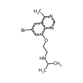 Cc1ncnc2c(OCCNC(C)C)cc(Br)cc12